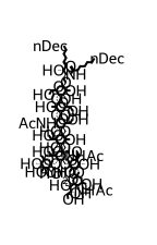 CCCCCCCCCCCCC/C=C/[C@@H](O)[C@H](CO[C@@H]1OC(CO)[C@@H](O[C@@H]2OC(CO)[C@H](O)[C@H](O[C@@H]3OC(CO)[C@@H](O[C@@H]4OC(CO)[C@H](O)[C@H](O[C@@H]5OC(CO)[C@@H](O[C@H]6OC(C)[C@@H](O)C(O)[C@@H]6O)[C@H](O[C@@H]6OC(CO)[C@H](O)[C@H](O[C@]7(C(=O)O)CC(O)[C@@H](NC(C)=O)C([C@H](O)[C@H](O)CO)O7)C6O)C5NC(C)=O)C4O)[C@H](O)C3NC(C)=O)C2O)[C@H](O)C1O)NC(=O)CCCCCCCCCCCCCCC